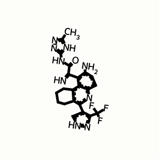 Cc1nnc(NC(=O)C(=N)c2c(N)ccc3nc(-c4c[nH]nc4C(F)(F)F)c4c(c23)CCCC4)[nH]1